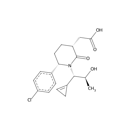 C[C@H](O)[C@H](C1=CC1)N1C(=O)[C@@H](CC(=O)O)CC[C@H]1c1ccc(Cl)cc1